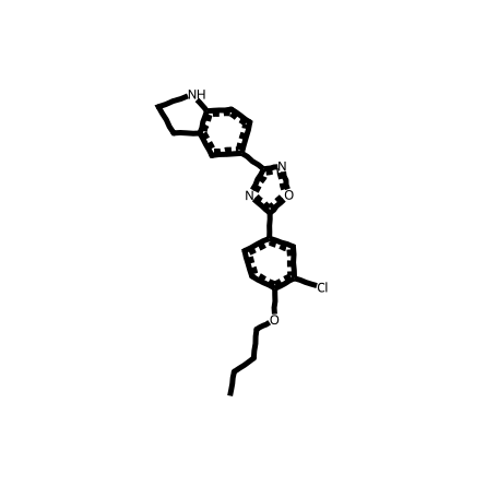 CCCCOc1ccc(-c2nc(-c3ccc4c(c3)CCN4)no2)cc1Cl